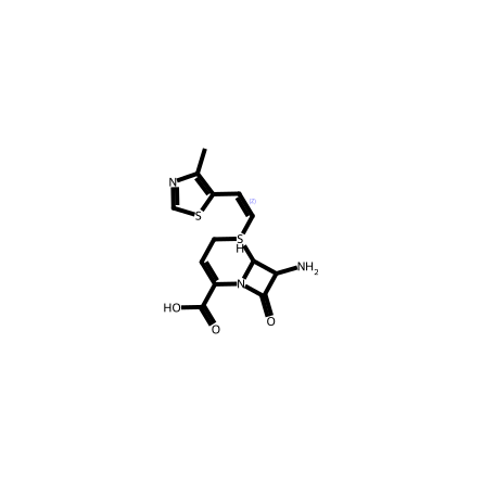 Cc1ncsc1/C=C\[SH]1CC=C(C(=O)O)N2C(=O)C(N)C21